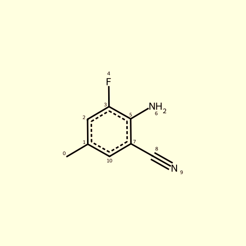 Cc1cc(F)c(N)c(C#N)c1